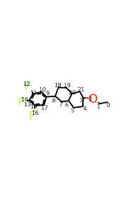 CCOC1CCC2CC(c3cc(F)c(F)c(F)c3)CCC2C1